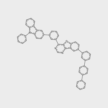 c1ccc(-c2ccc(-c3cccc(-c4ccc5oc6c(-c7cccc(-c8ccc9c(c8)c8ccccc8n9-c8ccccc8)c7)ncnc6c5c4)c3)cc2)cc1